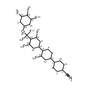 N#CC1CCC(C2CCC(C3CC(F)C(C(F)(F)OC4CC(F)C(F)C(F)C4)C(F)C3)C(F)C2)CC1